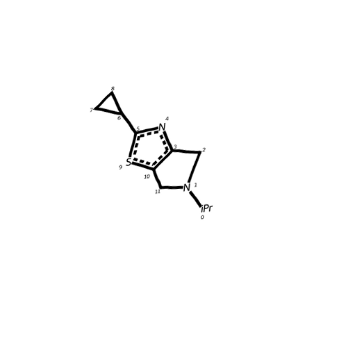 CC(C)N1Cc2nc(C3CC3)sc2C1